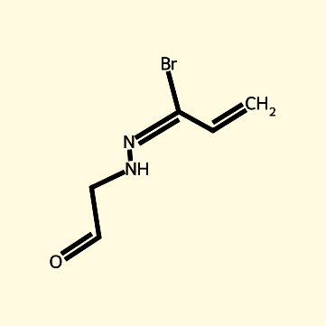 C=C/C(Br)=N\NCC=O